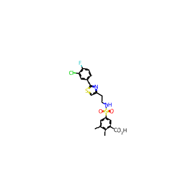 Cc1cc(S(=O)(=O)NCCc2csc(-c3ccc(F)c(Cl)c3)n2)cc(C(=O)O)c1C